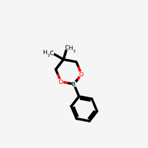 CC1(C)COB(c2[c]cccc2)OC1